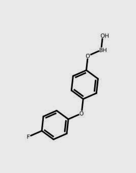 OBOc1ccc(Oc2ccc(F)cc2)cc1